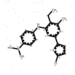 CCc1c(C)nc(-c2ccc(Cl)s2)nc1Nc1ccc(B(O)O)cc1